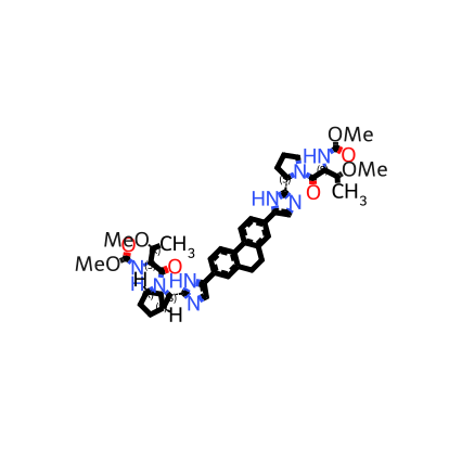 COC(=O)N[C@H](C(=O)N1CCC[C@H]1c1ncc(-c2ccc3c(c2)CCc2cc(-c4cnc([C@@H]5[C@H]6CC[C@H](C6)N5C(=O)[C@@H](NC(=O)OC)[C@@H](C)OC)[nH]4)ccc2-3)[nH]1)C(C)OC